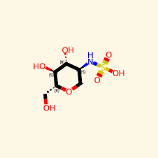 O=S(=O)(O)N[C@H]1[CH]O[C@H](CO)[C@@H](O)[C@@H]1O